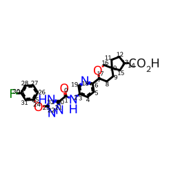 O=C(Nc1ccc(C2CCC3(CCC(C(=O)O)C3)CO2)nc1)c1nnc(Oc2cccc(F)c2)[nH]1